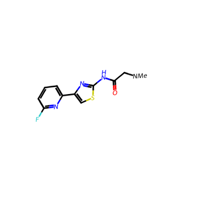 CNCC(=O)Nc1nc(-c2cccc(F)n2)cs1